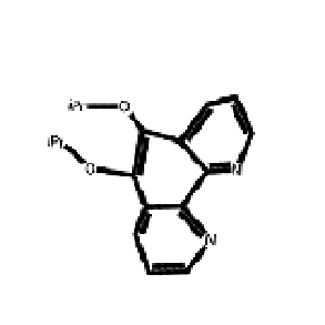 CC(C)Oc1c(OC(C)C)c2cccnc2c2ncccc12